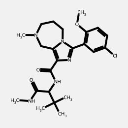 CNC(=O)C(NC(=O)c1nc(-c2cc(Cl)ccc2OC)n2c1CN(C)CCC2)C(C)(C)C